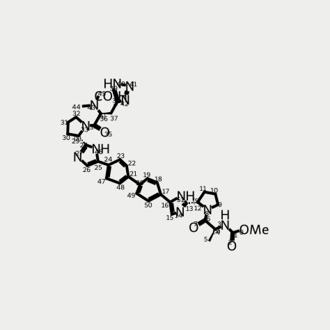 COC(=O)N[C@@H](C)C(=O)N1CCC[C@H]1c1ncc(-c2ccc(-c3ccc(-c4cnc([C@@H]5CCCN5C(=O)[C@H](Cc5c[nH]nn5)N(C)C(=O)O)[nH]4)cc3)cc2)[nH]1